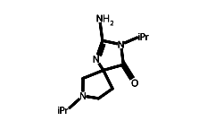 CC(C)N1CCC2(C1)N=C(N)N(C(C)C)C2=O